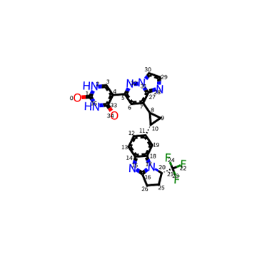 O=c1[nH]cc(-c2cc(C3C[C@@H]3c3ccc4nc5n(c4c3)[C@H](C(F)(F)F)CC5)c3nccn3n2)c(=O)[nH]1